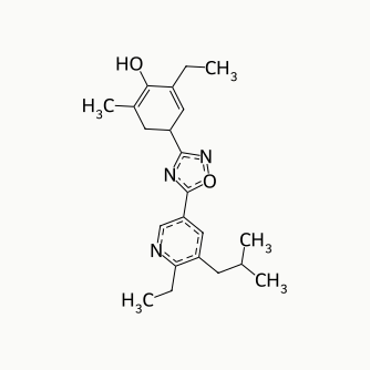 CCC1=CC(c2noc(-c3cnc(CC)c(CC(C)C)c3)n2)CC(C)=C1O